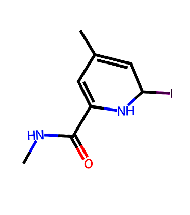 CNC(=O)C1=CC(C)=CC(I)N1